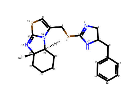 C1=C(CSC2=NCC(Cc3ccccc3)N2)N2C(=N[C@H]3CCCC[C@@H]32)S1